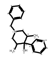 CC1CN(Cc2ccccc2)CC(C)C1(O)c1cccnc1